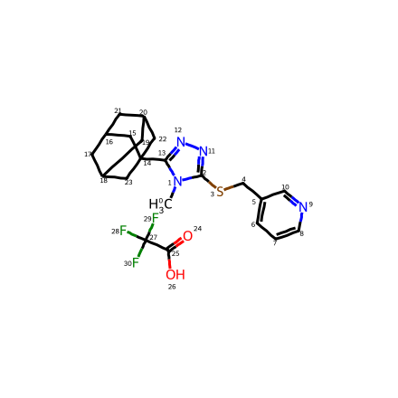 Cn1c(SCc2cccnc2)nnc1C12CC3CC(CC(C3)C1)C2.O=C(O)C(F)(F)F